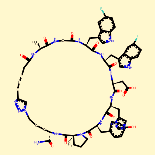 C[C@@H]1NC(=O)CCCCc2cn(nn2)CCC[C@@H](C(N)=O)NC(=O)[C@]2(C)CCCN2C(=O)[C@H](Cc2ccc(O)cc2)NC(=O)[C@H](Cc2cnc[nH]2)NC(=O)[C@H](CC(=O)O)NC(=O)[C@H](Cc2c[nH]c3ccc(F)cc23)NC(=O)[C@H](Cc2c[nH]c3ccc(F)cc23)NC(=O)CNC1=O